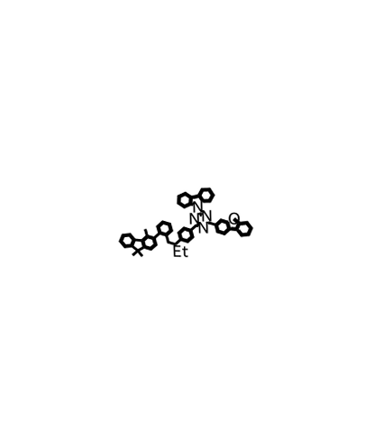 CCC(Cc1ccccc1-c1ccc2c(c1C)-c1ccccc1C2(C)C)c1ccc(-c2nc(-c3ccc4c(c3)oc3ccccc34)nc(-n3c4ccccc4c4ccccc43)n2)cc1